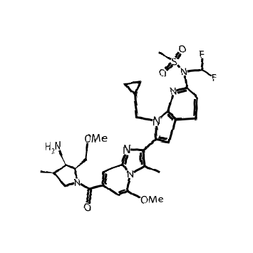 COC[C@@H]1[C@H](N)[C@H](C)CN1C(=O)c1cc(OC)n2c(C)c(-c3cc4ccc(N(C(F)F)S(C)(=O)=O)nc4n3CC3CC3)nc2c1